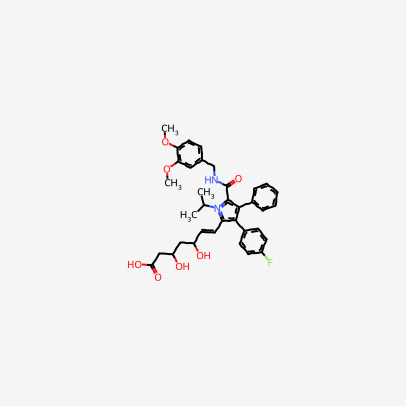 COc1ccc(CNC(=O)c2c(-c3ccccc3)c(-c3ccc(F)cc3)c(/C=C/C(O)CC(O)CC(=O)O)n2C(C)C)cc1OC